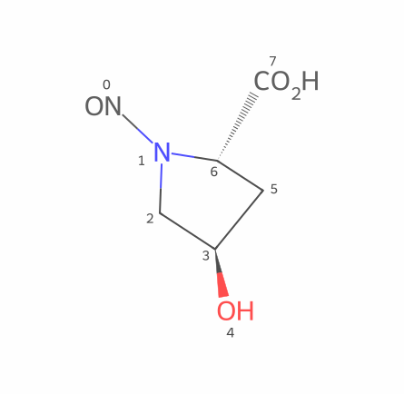 O=NN1C[C@H](O)C[C@H]1C(=O)O